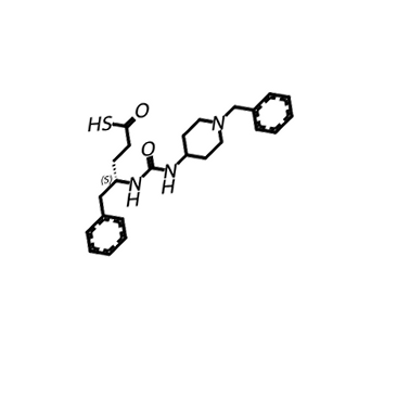 O=C(S)CC[C@@H](Cc1ccccc1)NC(=O)NC1CCN(Cc2ccccc2)CC1